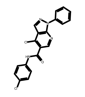 O=C(Nc1ccc(Cl)cc1)c1cnc2c(cnn2-c2ccccc2)c1Cl